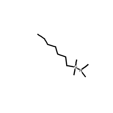 CCCCCCC[Si](C)(C)N(C)C